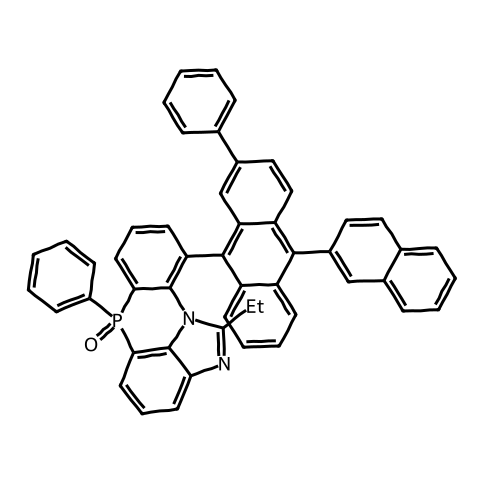 CCc1nc2cccc3c2n1-c1c(-c2c4ccccc4c(-c4ccc5ccccc5c4)c4ccc(-c5ccccc5)cc24)cccc1P3(=O)c1ccccc1